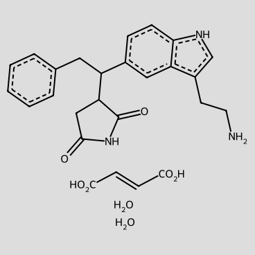 NCCc1c[nH]c2ccc(C(Cc3ccccc3)C3CC(=O)NC3=O)cc12.O.O.O=C(O)C=CC(=O)O